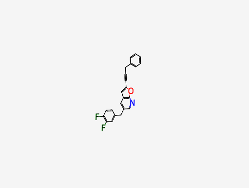 Fc1ccc(Cc2cnc3oc(C#CCc4ccccc4)cc3c2)cc1F